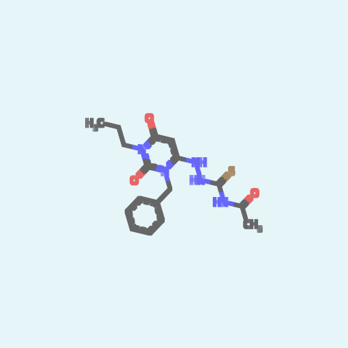 CCCn1c(=O)cc(NNC(=S)NC(C)=O)n(Cc2ccccc2)c1=O